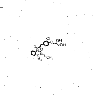 CCC/N=C1\O/C(=C\c2ccc(OC[C@@H](O)CO)c(Cl)c2)C(=O)N1c1ccccc1C